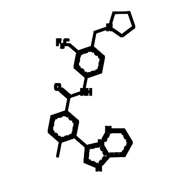 Cc1ccc(C(=O)Nc2ccc(CN3CCCC3)c(C(F)(F)F)c2)cc1-c1cnc2cccnn12